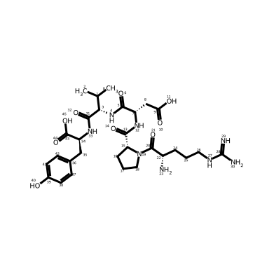 CC(C)[C@H](NC(=O)[C@H](CC(=O)O)NC(=O)[C@H]1CCCN1C(=O)[C@@H](N)CCCNC(=N)N)C(=O)N[C@@H](Cc1ccc(O)cc1)C(=O)O